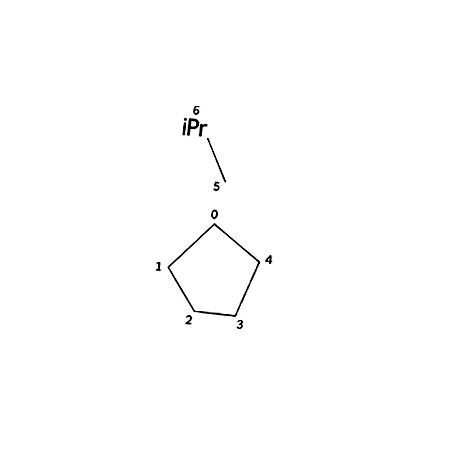 C1CCCC1.CC(C)C